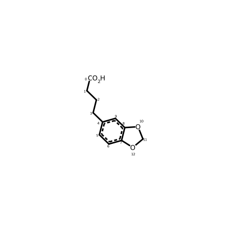 O=C(O)CCCc1ccc2c(c1)OCO2